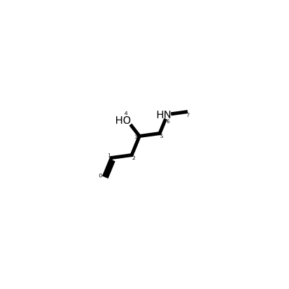 C=CCC(O)CNC